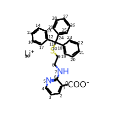 O=C([O-])c1cccnc1NCCSC(c1ccccc1)(c1ccccc1)c1ccccc1.[Li+]